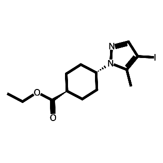 CCOC(=O)[C@H]1CC[C@H](n2ncc(I)c2C)CC1